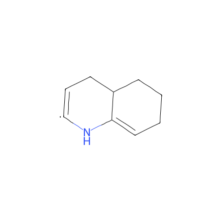 [C]1=CCC2CCCC=C2N1